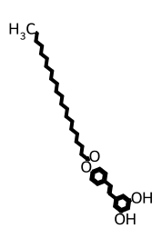 CCCCCCCCCCCCCCCCCCCCCC(=O)Oc1ccc(/C=C/c2cc(O)cc(O)c2)cc1